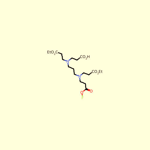 CCOC(=O)CCN(CCCN(CCC(=O)OF)CCC(=O)OCC)CCC(=O)O